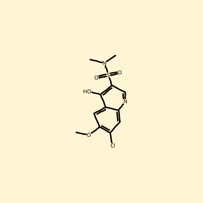 COc1cc2c(O)c(S(=O)(=O)N(C)C)cnc2cc1Cl